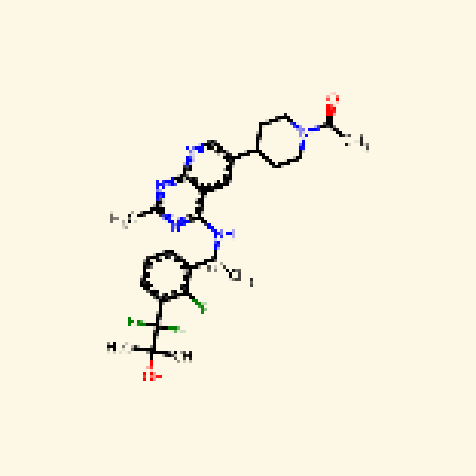 CC(=O)N1CCC(c2cnc3nc(C)nc(N[C@H](C)c4cccc(C(F)(F)C(C)(C)O)c4F)c3c2)CC1